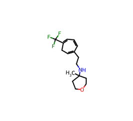 CC1(NCCC2=CCC(C(F)(F)F)=CC=C2)CCOCC1